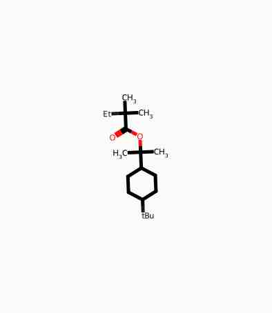 CCC(C)(C)C(=O)OC(C)(C)C1CCC(C(C)(C)C)CC1